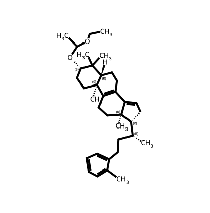 CCOC(C)O[C@H]1CC[C@]2(C)C3=C(CC[C@H]2C1(C)C)C1=CC[C@H]([C@H](C)CCc2ccccc2C)[C@@]1(C)CC3